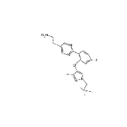 Cc1nn(CC(C)(C)C)cc1Oc1cc(F)ccc1-c1ncc(CCN)cn1